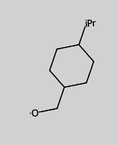 CC(C)C1CCC(C[O])CC1